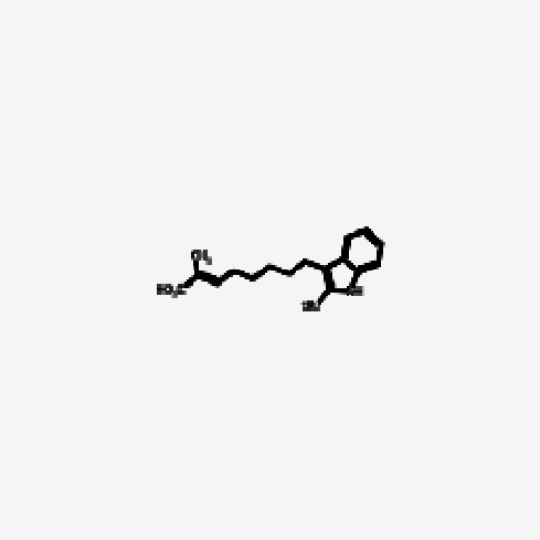 CC(=CCCCCCc1c(C(C)(C)C)[nH]c2ccccc12)C(=O)O